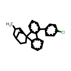 CC1C=C2CC(CCC23c2ccccc2-c2c(-c4ccc(Cl)cc4)cccc23)C1